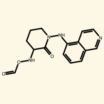 O=CONC1CCCN(Nc2cccc3cnccc23)C1=O